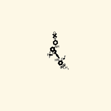 CS(=O)(=O)c1ccc(NCC#Cc2cc3c(N[C@H]4CC[C@H](N5CC6(COC6)C5)CC4)cccc3n2CC(F)(F)F)c(OCF)c1